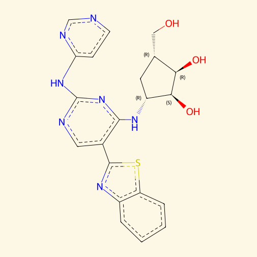 OC[C@H]1C[C@@H](Nc2nc(Nc3ccncn3)ncc2-c2nc3ccccc3s2)[C@H](O)[C@@H]1O